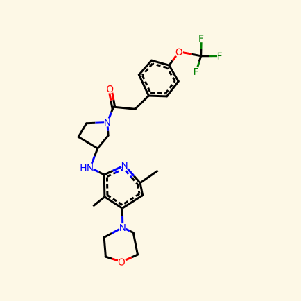 Cc1cc(N2CCOCC2)c(C)c(NC2CCN(C(=O)Cc3ccc(OC(F)(F)F)cc3)C2)n1